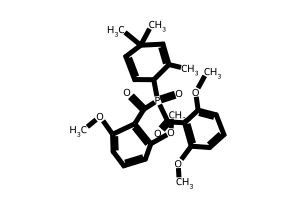 COc1cccc(OC)c1C(=O)P(=O)(C(=O)c1c(OC)cccc1OC)C1C=CC(C)(C)C=C1C